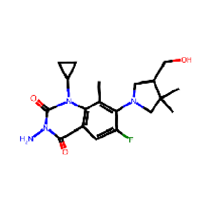 Cc1c(N2CC(CO)C(C)(C)C2)c(F)cc2c(=O)n(N)c(=O)n(C3CC3)c12